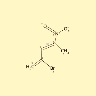 C=C(Br)/C=C(\C)[N+](=O)[O-]